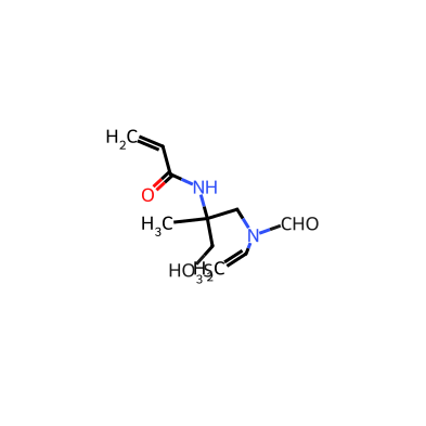 C=CC(=O)NC(C)(CN(C=C)C=O)CS(=O)(=O)O